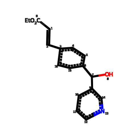 CCOC(=O)C=Cc1ccc(C(O)c2cccnc2)cc1